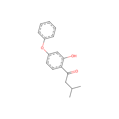 CC(C)CC(=O)c1ccc(Oc2ccccc2)cc1O